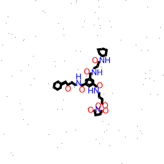 O=C(C=C1CCCCC1)CCNC(=O)c1cc(C(=O)NCCCC(=O)ON2C(=O)CCC2=O)cc(C(=O)NCCC(=O)NC2CCCCC2)c1